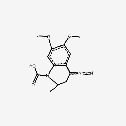 COc1cc2c(cc1OC)N(C(=O)O)C(C)CC2=[N+]=[N-]